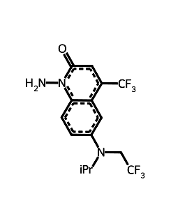 CC(C)N(CC(F)(F)F)c1ccc2c(c1)c(C(F)(F)F)cc(=O)n2N